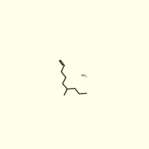 C=CCCCC(C)CCC.N